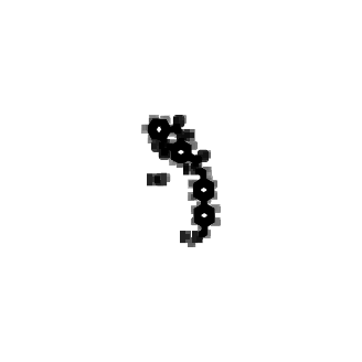 Cl.NCc1ccc(-c2ccc(CNC(=O)c3ccc4c(c3)NC(=O)c3ccccc3S4(=O)=O)cc2)cc1